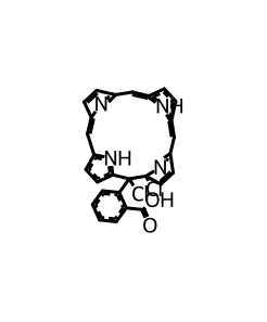 O=C(O)c1ccccc1C1(Cl)c2ccc([nH]2)C=C2C=CC(=N2)C=c2ccc([nH]2)=CC2=NC1(Cl)C=C2